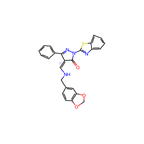 O=C1/C(=C\NCc2ccc3c(c2)OCO3)C(c2ccccc2)=NN1c1nc2ccccc2s1